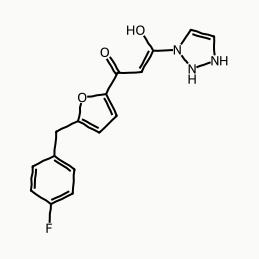 O=C(C=C(O)N1C=CNN1)c1ccc(Cc2ccc(F)cc2)o1